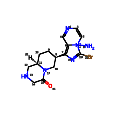 N[N+]12C=CN=CC1=C([C@@H]1CC[C@@H]3CNCC(=O)N3C1)N=C2Br